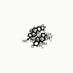 C#C[C@]1(O)CC[C@H]2[C@@H]3CCC4=Cc5oncc5C[C@]4(C)[C@H]3CC[C@@]21C.C[C@]1(O)CC[C@H]2[C@@H]3CCC4=CC(=O)CC[C@]4(C)[C@@]3(F)[C@@H](O)C[C@@]21C